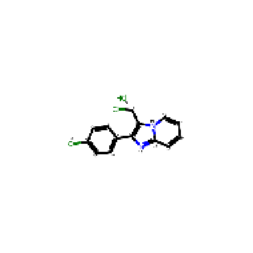 Cl.ClCc1c(-c2ccc(Cl)cc2)nc2ccccn12